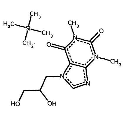 Cn1c(=O)c2c(ncn2CC(O)CO)n(C)c1=O.[CH2][Si](C)(C)C